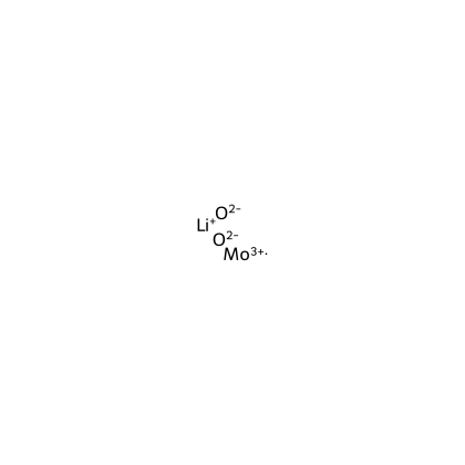 [Li+].[Mo+3].[O-2].[O-2]